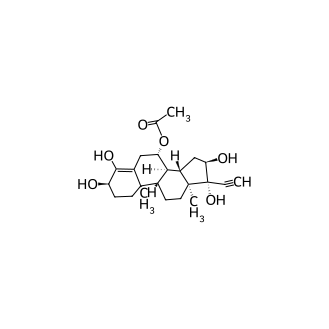 C#C[C@]1(O)[C@H](O)C[C@H]2[C@@H]3[C@@H](OC(C)=O)CC4=C(O)[C@H](O)CC[C@]4(C)[C@H]3CC[C@@]21C